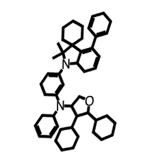 CC1(C)N(C2=CCCC(N(C3C=CC=CC3)C3COC(C4CCCCC4)C3C3CCCCC3)=C2)C2CC=CC(C3=CCCC=C3)=C2C12CCCCC2